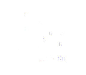 N#Cc1ccc(-c2nc(C(=O)N3CC[C@@H](N)C3)c(CCC(=O)O)n2-c2ccc(C3CC3)cc2)cc1F